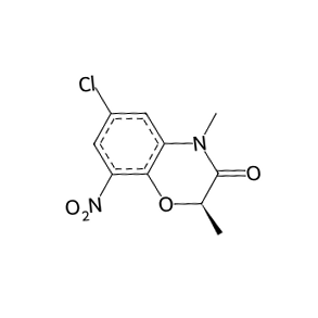 C[C@H]1Oc2c(cc(Cl)cc2[N+](=O)[O-])N(C)C1=O